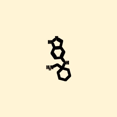 NCC1(Nc2ccc3[nH]ncc3c2)CCCCC1